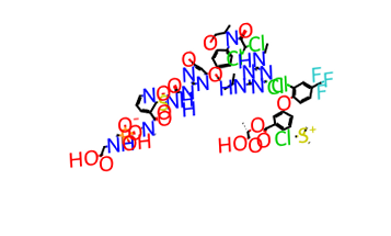 CC1COc2ccccc2N1C(=O)C(Cl)Cl.CCNc1nc(Cl)nc(NC(C)C)n1.COc1cc(OC)nc(NC(=O)NS(=O)(=O)c2ncccc2C(=O)N(C)C)n1.C[C@H](OC(=O)c1cc(Oc2ccc(C(F)(F)F)cc2Cl)ccc1Cl)C(=O)O.C[S+](C)C.O=C(O)CNCP(=O)([O-])O